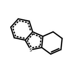 C1=Cc2sc3ccccc3c2CC1